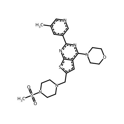 Cc1cncc(-c2nc(N3CCOCC3)c3cc(CN4CCN(S(C)(=O)=O)CC4)sc3n2)c1